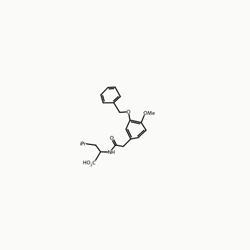 COc1ccc(CC(=O)NC(CC(C)C)C(=O)O)cc1OCc1ccccc1